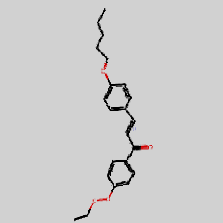 CCCCCOc1ccc(/C=C/C(=O)c2ccc(OOCC)cc2)cc1